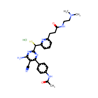 CC(=O)Nc1ccc(-c2nc(C(S)c3cccc(CCC(=O)NCCN(C)C)n3)nc(N)c2C#N)cc1.Cl